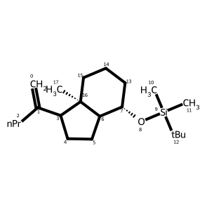 C=C(CCC)C1CCC2[C@@H](O[Si](C)(C)C(C)(C)C)CCC[C@]12C